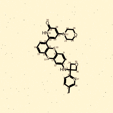 Cc1ccc(C2(Nc3ccc4c(c3)Sc3cccc(-c5cc(N6CCOCC6)cc(=O)[nH]5)c3S4)COC2)nc1